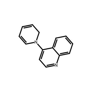 C1=CCN(c2ccnc3ccccc23)C=C1